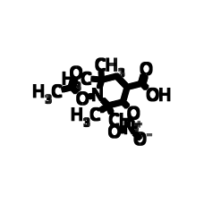 CC(=O)ON1C(C)(C)CC(C(=O)O)C(O[N+](=O)[O-])C1(C)C